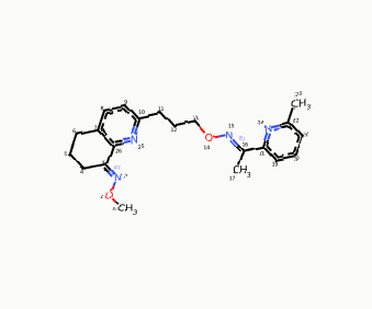 CO/N=C1\CCCc2ccc(CCCO/N=C(\C)c3cccc(C)n3)nc21